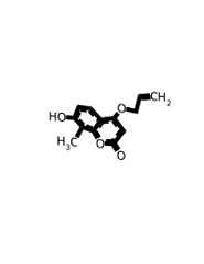 C=CCOc1cc(=O)oc2c(C)c(O)ccc12